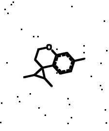 Cc1ccc2c(c1)OCCC21C(C)C1C